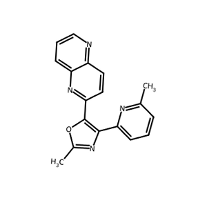 Cc1cccc(-c2nc(C)oc2-c2ccc3ncccc3n2)n1